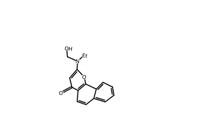 CCN(CO)c1cc(=O)c2ccc3ccccc3c2o1